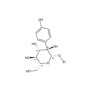 CCO[C@@H]1O[C@H](CO)[C@@H](O)[C@H](O)[C@]1(O)c1ccc(O)cc1